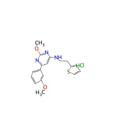 COc1cccc(-c2cc(NCCc3cccs3)nc(OC)n2)c1.Cl